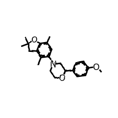 COc1ccc(C2CN(c3cc(C)c4c(c3C)CC(C)(C)O4)CCO2)cc1